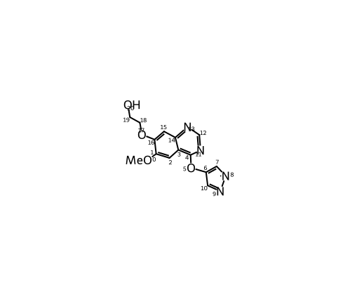 COc1cc2c(OC3=C[N]N=C3)ncnc2cc1OCCO